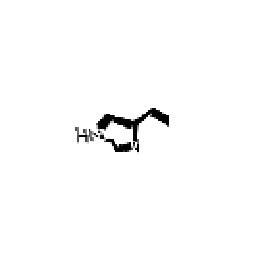 C=[C]c1c[nH]cn1